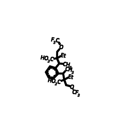 CCC(COC(F)(F)F)(C(=O)O)C(C)c1[c]cccc1C(C)C(CC)(COC(F)(F)F)C(=O)O